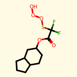 O=C(OC1CCC2CCCC2C1)C(F)(F)SOOO